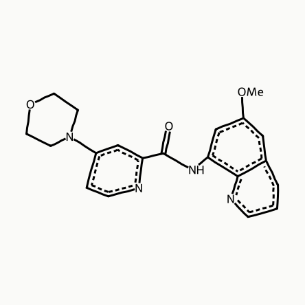 COc1cc(NC(=O)c2cc(N3CCOCC3)ccn2)c2ncccc2c1